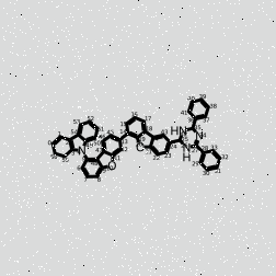 C1=Cc2c(n(-c3cccc4oc5cc(-c6cccc7c6oc6ccc(C8NC(c9ccccc9)=NC(c9ccccc9)N8)cc67)ccc5c34)c3ccccc23)CC1